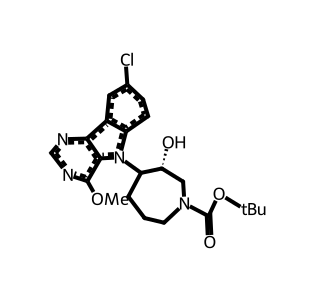 COc1ncnc2c3cc(Cl)ccc3n(C3CCCN(C(=O)OC(C)(C)C)C[C@H]3O)c12